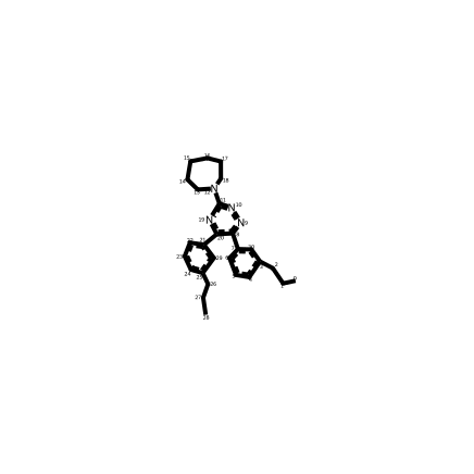 CCCc1cccc(-c2nnc(N3CCCCCC3)nc2-c2cccc(CCC)c2)c1